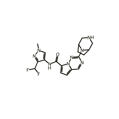 Cn1cc(NC(=O)c2ccc3cnc(N4C5CCC4CNC5)nn23)c(C(F)F)n1